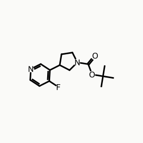 CC(C)(C)OC(=O)N1CCC(c2cnccc2F)C1